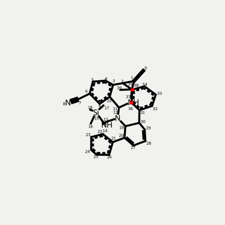 C=C1C2c3ccc(C#N)cc3C(N(C(=N)[Si](C)(C)C)C3C(c4ccccc4)=CC=CC3c3ccccc3)NC12C